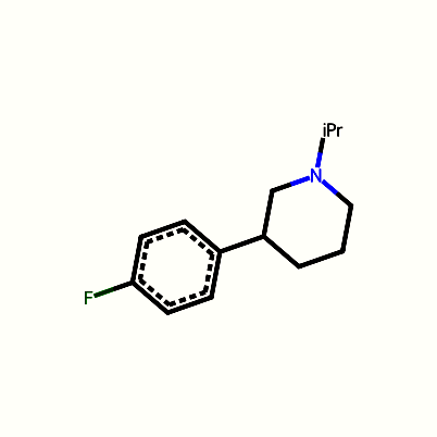 CC(C)N1CCCC(c2ccc(F)cc2)C1